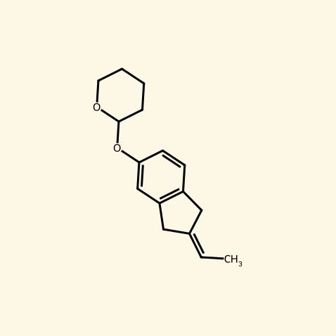 C/C=C1\Cc2ccc(OC3CCCCO3)cc2C1